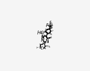 Cc1nc(N2C[C@@H](C)OC[C@H]2C)nnc1-c1ccc(C(F)(F)F)cc1O